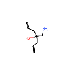 C=CCC([O])(CN)CC=C